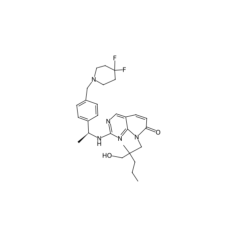 CCCC(C)(CO)Cn1c(=O)ccc2cnc(N[C@@H](C)c3ccc(CN4CCC(F)(F)CC4)cc3)nc21